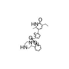 CCc1cc(-c2ccc(S(=O)(=O)N3CCNCC3c3ccccn3)s2)c(C)[nH]c1=O